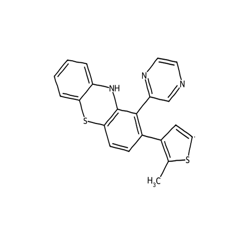 Cc1s[c]cc1-c1ccc2c(c1-c1cnccn1)Nc1ccccc1S2